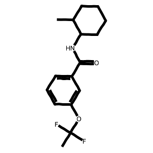 CC1CCCCC1NC(=O)c1cccc(OC(C)(F)F)c1